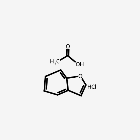 CC(=O)O.Cl.c1ccc2occc2c1